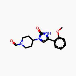 COc1ccccc1-c1cn(C2CCN(C=O)CC2)c(=O)[nH]1